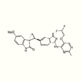 COc1ccc2c(c1)[C@]1(C[C@H]1c1ccc3c(Nc4nc(C)ncc4OCC(F)F)n[nH]c3c1)C(=O)N2